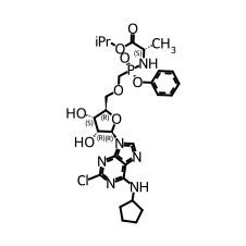 CC(C)OC(=O)[C@H](C)NP(=O)(COC[C@H]1O[C@@H](n2cnc3c(NC4CCCC4)nc(Cl)nc32)[C@H](O)[C@@H]1O)Oc1ccccc1